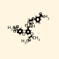 COC[C@H](C)Oc1cc(Oc2ccc(S(C)(=O)=O)cc2)cc(C(=O)Nc2ncc(Oc3cccc(C(N)=O)c3)s2)c1